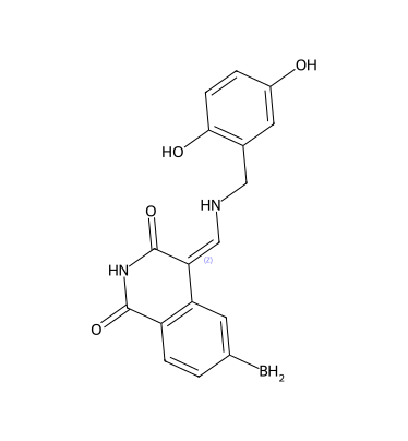 Bc1ccc2c(c1)/C(=C/NCc1cc(O)ccc1O)C(=O)NC2=O